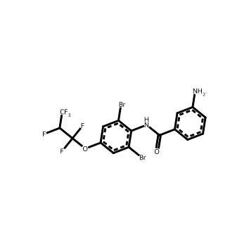 Nc1cccc(C(=O)Nc2c(Br)cc(OC(F)(F)C(F)C(F)(F)F)cc2Br)c1